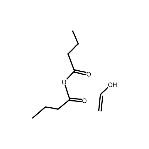 C=CO.CCCC(=O)OC(=O)CCC